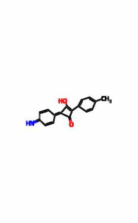 Cc1ccc(C2=C(O)C(=C3C=CC(=N)C=C3)C2=O)cc1